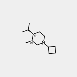 CC(C)[C@H]1CCN(C2CCC2)C[C@H]1C